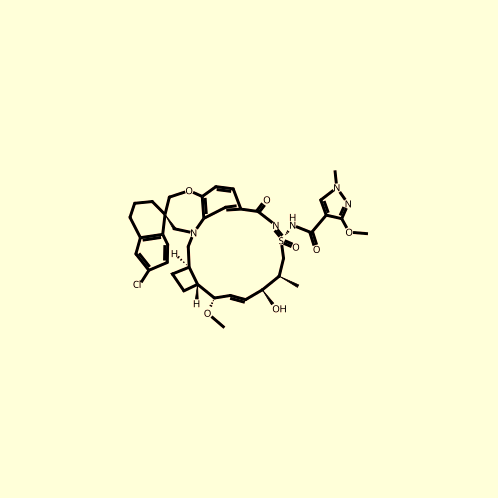 COc1nn(C)cc1C(=O)N[S@@]1(=O)=NC(=O)c2ccc3c(c2)N(C[C@@H]2CC[C@H]2[C@@H](OC)/C=C/[C@H](O)[C@H](C)C1)C[C@@]1(CCCc2cc(Cl)ccc21)CO3